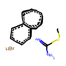 Br.CSC(=N)N.c1ccc2ccccc2c1